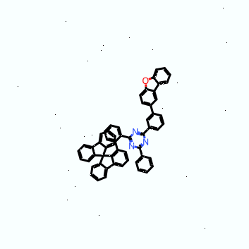 c1ccc(-c2nc(-c3cccc(-c4ccc5oc6ccccc6c5c4)c3)nc(-c3ccccc3-c3cccc4c3C3(c5ccccc5-c5ccccc53)c3ccccc3-4)n2)cc1